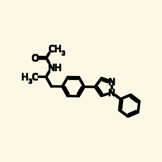 CC(=O)NC(C)Cc1ccc(-c2cnn(-c3ccccc3)c2)cc1